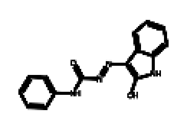 O=C(N=Nc1c(O)[nH]c2ccccc12)Nc1ccccc1